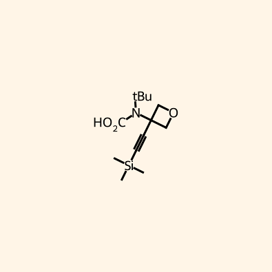 CC(C)(C)N(C(=O)O)C1(C#C[Si](C)(C)C)COC1